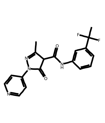 CC1=NN(c2ccncc2)C(=O)C1C(=O)Nc1cccc(C(C)(F)F)c1